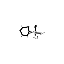 CC[Si](CC)(C(C)C)C1CCCCC1